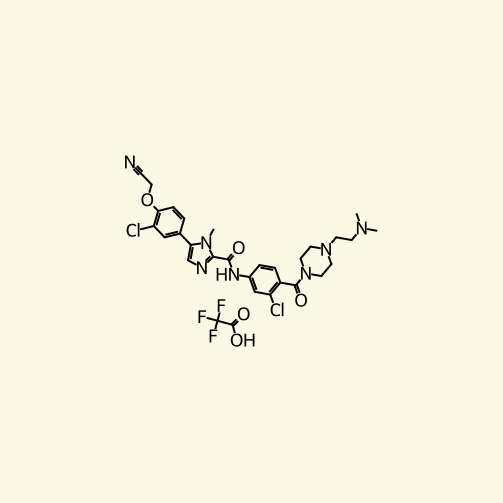 CN(C)CCN1CCN(C(=O)c2ccc(NC(=O)c3ncc(-c4ccc(OCC#N)c(Cl)c4)n3C)cc2Cl)CC1.O=C(O)C(F)(F)F